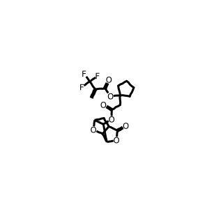 C=C(C(=O)OC1(CC(=O)OC2C3CC4C(=O)OC2C4O3)CCCC1)C(F)(F)F